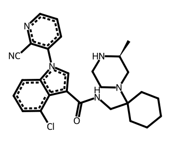 C[C@H]1CN(C2(CNC(=O)c3cn(-c4cccnc4C#N)c4cccc(Cl)c34)CCCCC2)CCN1